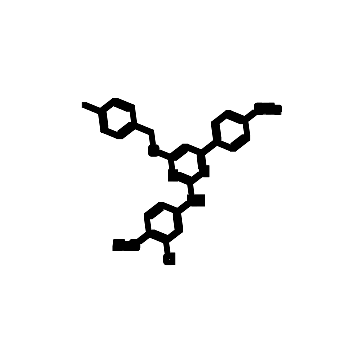 COc1ccc(-c2cc(OCc3ccc(C)cc3)nc(Nc3ccc(OC)c(Cl)c3)n2)cc1